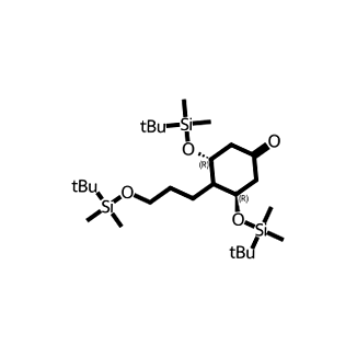 CC(C)(C)[Si](C)(C)OCCCC1[C@H](O[Si](C)(C)C(C)(C)C)CC(=O)C[C@H]1O[Si](C)(C)C(C)(C)C